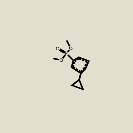 COP(=O)(OC)c1cccc(C2CC2)c1